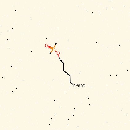 CCCCCCCCCCOP(C)(C)=O